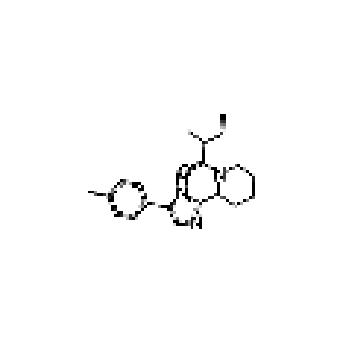 C=CC(C)C(=O)N1CCCCC1c1ncc(-c2ccc(C)cc2)[nH]1